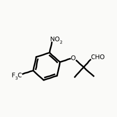 CC(C)(C=O)Oc1ccc(C(F)(F)F)cc1[N+](=O)[O-]